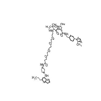 CCCc1cc(N[C@@H]2CC[C@@H](NC(=O)CCOCCOCCOCCOCCNC(C(=O)N3C[C@H](O)C[C@H]3C(=O)NCc3ccc(-c4scnc4C)cc3)C(C)(C)C)C2)n2nccc2n1